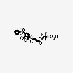 CCC1(OC(=O)C2C3CC4C(OC(=O)C42)C3OC(=O)CCC(=O)OCC(F)C(F)(F)S(=O)(=O)O)CCCC1